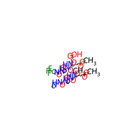 CCOC(=O)/C=C/CC[C@H](NC(=O)CCC(=O)O)C(=O)Nc1cccn(CC(=O)N2CCC(C(F)(F)F)CC2)c1=O.CCOC(=O)/C=C/CC[C@H](NC(C)=O)C(=O)Nc1cccn(CC(=O)NCCN2CCCC2)c1=O